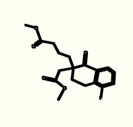 COC(=O)CCCC1(CC(=O)OC)CCc2c(F)cccc2C1=O